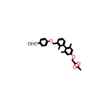 Cc1cc(OCC2OC(C)O2)cc(C)c1-c1cccc(COc2ccc(C=O)cc2)c1C